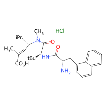 CC(=C[C@H](C(C)C)N(C)C(=O)[C@@H](NC(=O)[C@@H](N)Cc1cccc2ccccc12)C(C)(C)C)C(=O)O.Cl